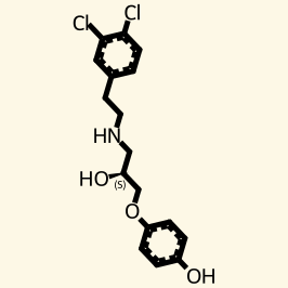 Oc1ccc(OC[C@@H](O)CNCCc2ccc(Cl)c(Cl)c2)cc1